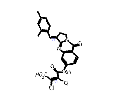 Cc1ccc(/C=C2\CCn3c2nc2cc(NC(=O)/C(Cl)=C(/Cl)C(=O)O)ccc2c3=O)c(C)c1